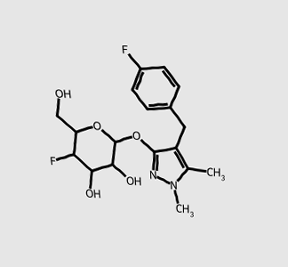 Cc1c(Cc2ccc(F)cc2)c(OC2OC(CO)C(F)C(O)C2O)nn1C